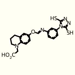 O=C(O)CN1CCCc2cc(O/C=N/c3cccc(-n4c(S)nnc4S)c3)ccc21